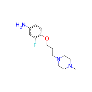 CN1CCN(CCCOc2ccc(N)cc2F)CC1